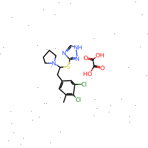 Cc1cc(CC(Sc2nc[nH]n2)N2CCCC2)cc(Cl)c1Cl.O=C(O)C(=O)O